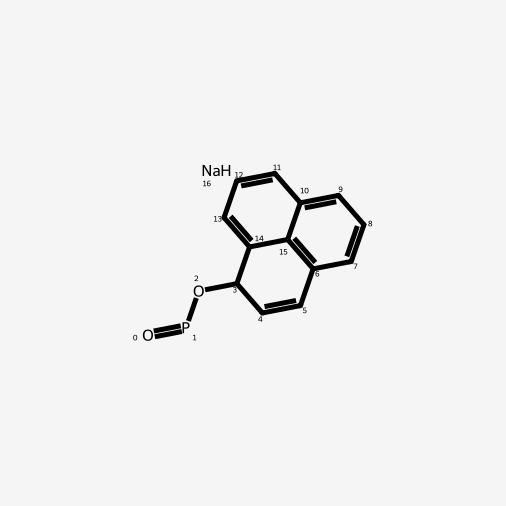 O=POC1C=Cc2cccc3cccc1c23.[NaH]